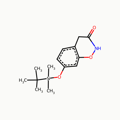 CC(C)(C)[Si](C)(C)Oc1ccc2c(c1)ONC(=O)C2